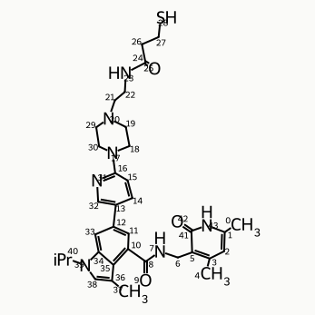 Cc1cc(C)c(CNC(=O)c2cc(-c3ccc(N4CCN(CCNC(=O)CCS)CC4)nc3)cc3c2c(C)cn3C(C)C)c(=O)[nH]1